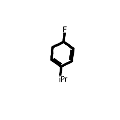 CC(C)C1=CCC(F)C=C1